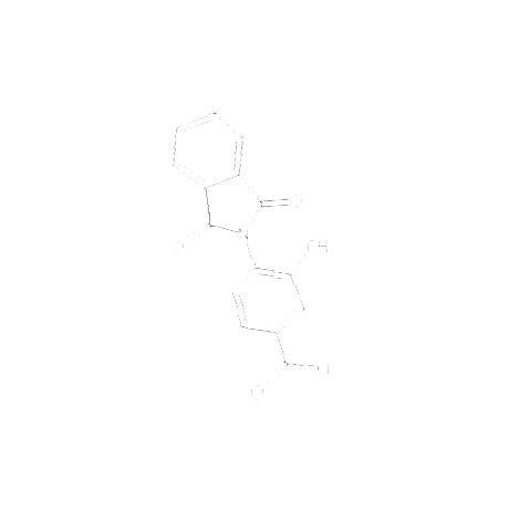 Cc1cc(C(=O)Cl)ccc1N1C(=O)c2ccccc2C1=O